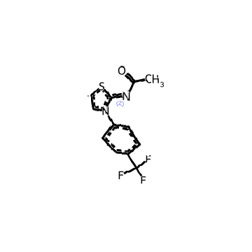 CC(=O)/N=c1\s[c]cn1-c1ccc(C(F)(F)F)cc1